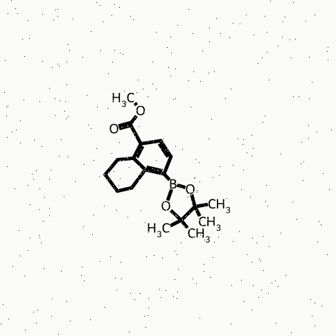 COC(=O)c1ccc(B2OC(C)(C)C(C)(C)O2)c2c1CCCC2